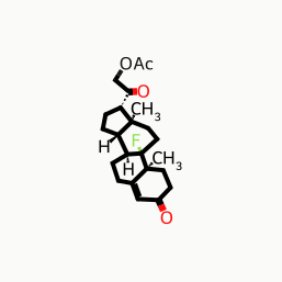 CC(=O)OCC(=O)[C@H]1CC[C@H]2[C@@H]3CCC4=CC(=O)CC[C@]4(C)[C@@]3(F)CC[C@]12C